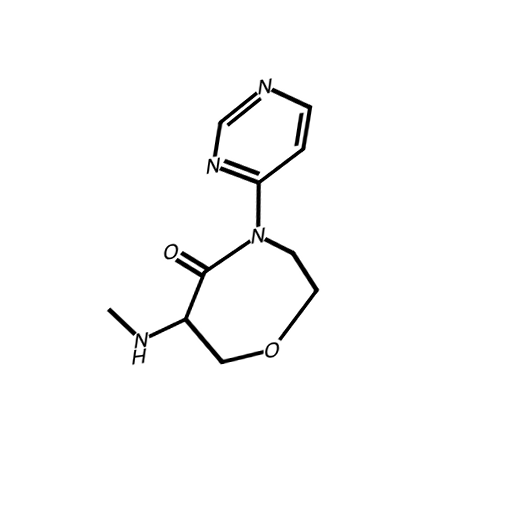 CNC1COCCN(c2ccncn2)C1=O